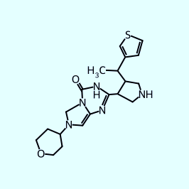 CC(c1ccsc1)C1CNCC1C1=NC2=CN(C3CCOCC3)CN2C(=O)N1